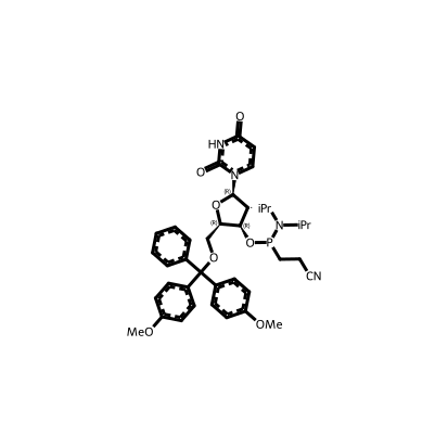 COc1ccc(C(OC[C@H]2O[C@@H](n3ccc(=O)[nH]c3=O)[CH][C@H]2OP(CCC#N)N(C(C)C)C(C)C)(c2ccccc2)c2ccc(OC)cc2)cc1